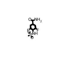 CS(=O)(=O)Nc1c(F)cc(C(N)=O)cc1F